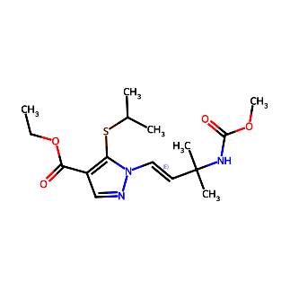 CCOC(=O)c1cnn(/C=C/C(C)(C)NC(=O)OC)c1SC(C)C